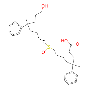 CC(CCCO)(CCCC[S+]([O-])CCCCC(C)(CCC(=O)O)c1ccccc1)c1ccccc1